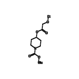 CCOCC(=O)OC1CCN(C(=O)OC(C)(C)C)CC1